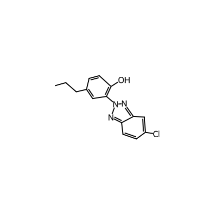 CCCc1ccc(O)c(-n2nc3ccc(Cl)cc3n2)c1